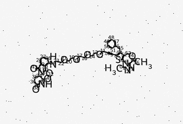 Cc1nnc2n1-c1sc(C#CCOCCOCCOCCOCCNc3cccc4c3C(=O)N(C3CCC(=O)NC3=O)C4=O)c(Cc3ccccc3)c1CO[C@H]2C